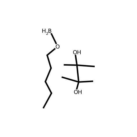 BOCCCCC.CC(C)(O)C(C)(C)O